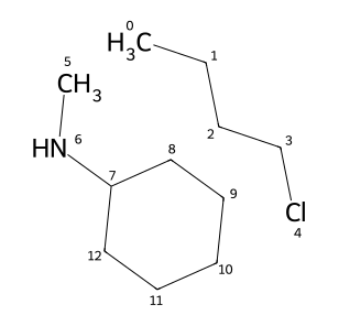 CCCCCl.CNC1CCCCC1